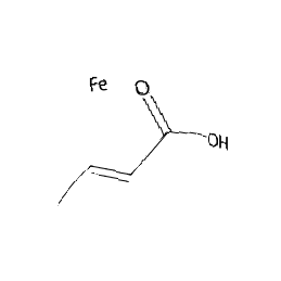 CC=CC(=O)O.[Fe]